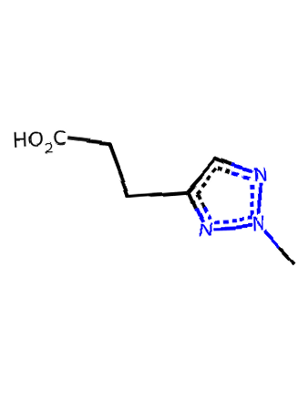 Cn1ncc(CCC(=O)O)n1